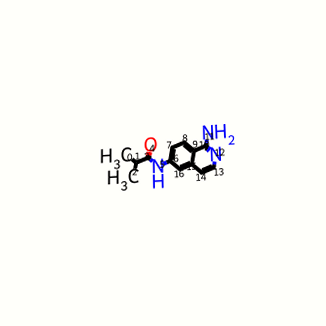 CC(C)C(=O)Nc1ccc2c(N)nccc2c1